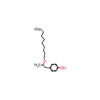 CCCCCCCCCCCCCCCCCCOC(C)Cc1ccc(O)cc1